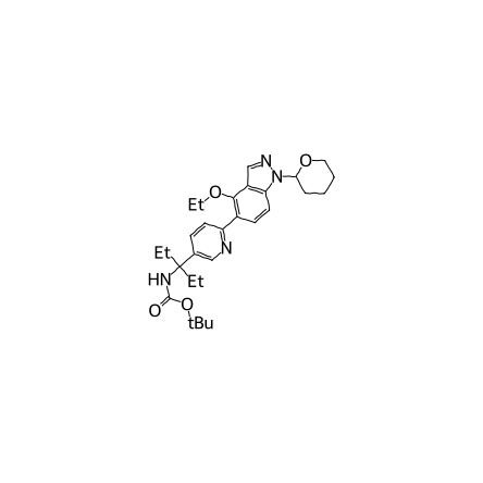 CCOc1c(-c2ccc(C(CC)(CC)NC(=O)OC(C)(C)C)cn2)ccc2c1cnn2C1CCCCO1